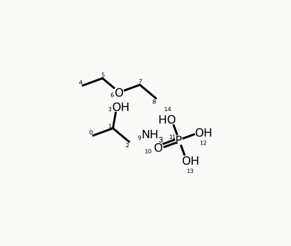 CC(C)O.CCOCC.N.O=P(O)(O)O